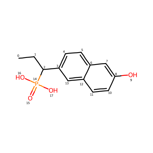 CCC(c1ccc2cc(O)ccc2c1)P(=O)(O)O